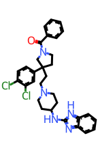 O=C(c1ccccc1)N1CCC(CCN2CCC(Nc3nc4ccccc4[nH]3)CC2)(c2ccc(Cl)c(Cl)c2)C1